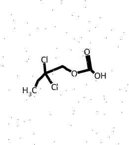 CCC(Cl)(Cl)COC(=O)O